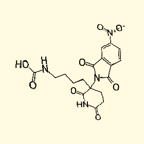 O=C(O)NCCCCC1(N2C(=O)c3ccc([N+](=O)[O-])cc3C2=O)CCC(=O)NC1=O